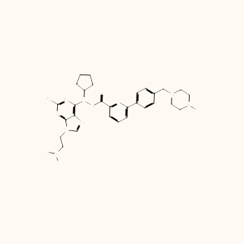 CN(C)CCn1cnc2c(N(NC(=O)c3cccc(-c4ccc(CN5CCN(C)CC5)cc4)n3)C3CCCC3)nc(N)nc21